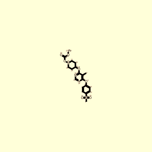 Cc1c(Oc2ccc(S(C)(=O)=O)cc2)ncnc1OC1CCN(OC(=O)OC(C)C)CC1